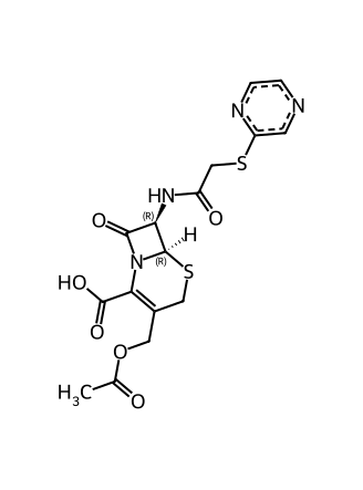 CC(=O)OCC1=C(C(=O)O)N2C(=O)[C@@H](NC(=O)CSc3cnccn3)[C@H]2SC1